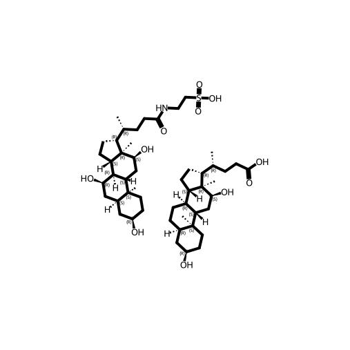 C[C@H](CCC(=O)NCCS(=O)(=O)O)[C@H]1CC[C@H]2[C@@H]3[C@H](O)C[C@@H]4C[C@H](O)CC[C@]4(C)[C@H]3C[C@H](O)[C@]12C.C[C@H](CCC(=O)O)[C@H]1CC[C@H]2[C@@H]3CC[C@@H]4C[C@H](O)CC[C@]4(C)[C@H]3C[C@H](O)[C@]12C